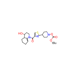 CC(C)(C)OC(=O)ON1CCC(c2nc(C(=O)N3CCC(O)C4CCCC=C43)cs2)CC1